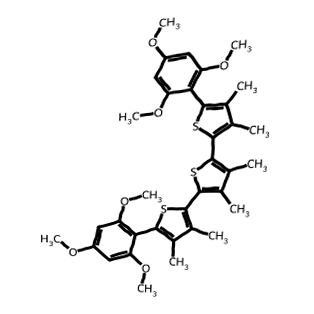 COc1cc(OC)c(-c2sc(-c3sc(-c4sc(-c5c(OC)cc(OC)cc5OC)c(C)c4C)c(C)c3C)c(C)c2C)c(OC)c1